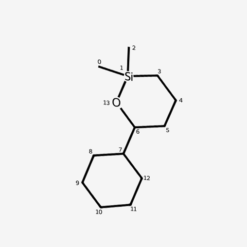 C[Si]1(C)CCCC(C2CCCCC2)O1